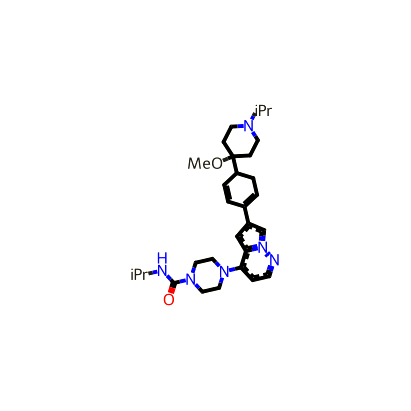 COC1(C2C=CC(c3cc4c(N5CCN(C(=O)NC(C)C)CC5)ccnn4c3)=CC2)CCN(C(C)C)CC1